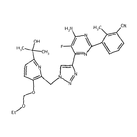 CCOCOc1ccc(C(C)(C)O)nc1Cn1cc(-c2nc(-c3cccc(C#N)c3C)nc(N)c2F)nn1